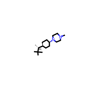 C[C@H]([C@H]1CC[C@@H](N2CCN(C)CC2)CC1)C(C)(C)C